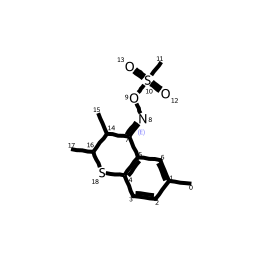 Cc1ccc2c(c1)/C(=N/OS(C)(=O)=O)C(C)C(C)S2